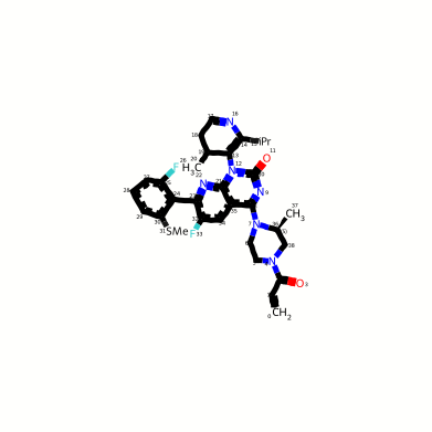 C=CC(=O)N1CCN(c2nc(=O)n(C3=C(C(C)C)N=CCC3C)c3nc(-c4c(F)cccc4SC)c(F)cc23)[C@@H](C)C1